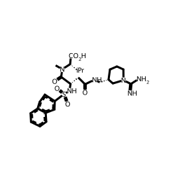 CC(C)[C@@H](C(=O)O)N(C)C(=O)[C@H](CC(=O)NC[C@@H]1CCCN(C(=N)N)C1)NS(=O)(=O)c1ccc2ccccc2c1